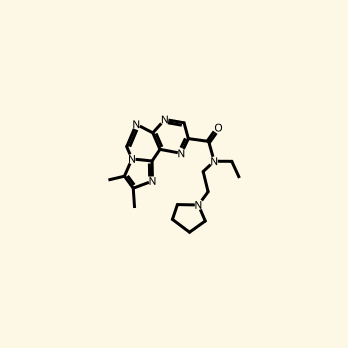 CCN(CCN1CCCC1)C(=O)c1cnc2ncn3c(C)c(C)nc3c2n1